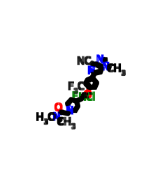 CN(C)C(=O)CN1CCC(F)(CCOc2ccc(-c3cc4c(ncn4C)c(C#N)n3)cc2C(F)(F)F)CC1.Cl